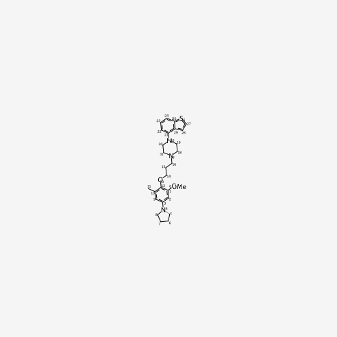 COc1cc(N2CCCC2)cc(C)c1OCCCN1CCN(c2cccc3sccc23)CC1